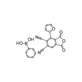 N#Cc1cc2c(c(-c3ccco3)c1C#N)C(=O)OC2=O.OB(O)c1ccccc1